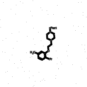 CCCCCN1CCN(CCOc2cc(C)ccc2C(C)C)CC1